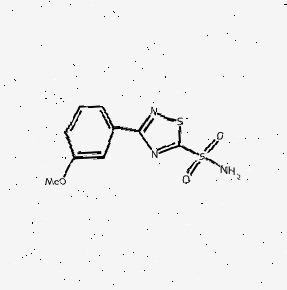 COc1cccc(-c2nsc(S(N)(=O)=O)n2)c1